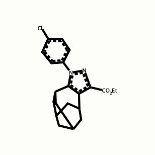 CCOC(=O)c1nn(-c2ccc(Cl)cc2)c2c1C1CC3CC(C1)CC2C3